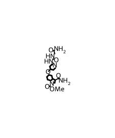 COC(=O)n1cc(C(N)=O)c2cc(Oc3ccnc(NC(=O)NCC(N)=O)c3)ccc21